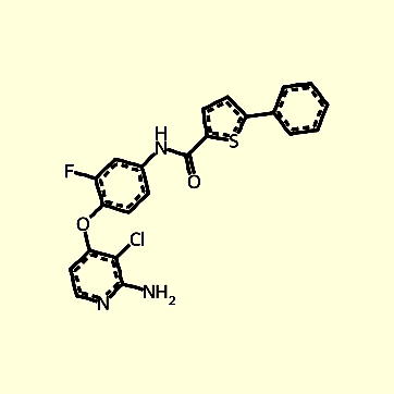 Nc1nccc(Oc2ccc(NC(=O)c3ccc(-c4ccccc4)s3)cc2F)c1Cl